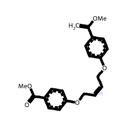 C=C(OC)c1ccc(OC/C=C\COc2ccc(C(=O)OC)cc2)cc1